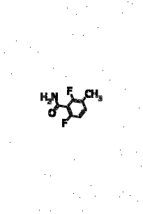 Cc1ccc(F)c(C(N)=O)c1F